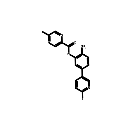 Cc1cnc(C(=O)Nc2cc(-c3ccc(F)nc3)ccc2N)cn1